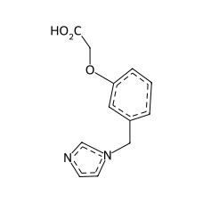 O=C(O)COc1cccc(Cn2ccnc2)c1